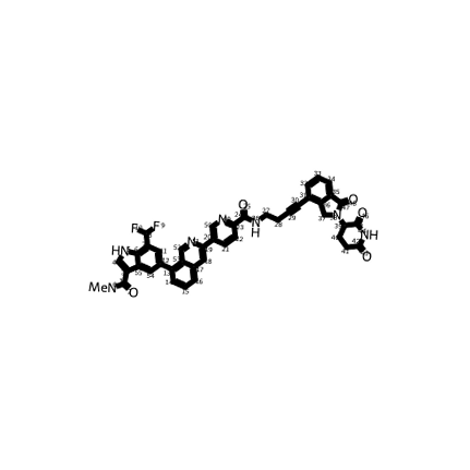 CNC(=O)c1c[nH]c2c(C(F)F)cc(-c3cccc4cc(-c5ccc(C(=O)NCCC#Cc6cccc7c6CN(C6CCC(=O)NC6=O)C7=O)nc5)ncc34)cc12